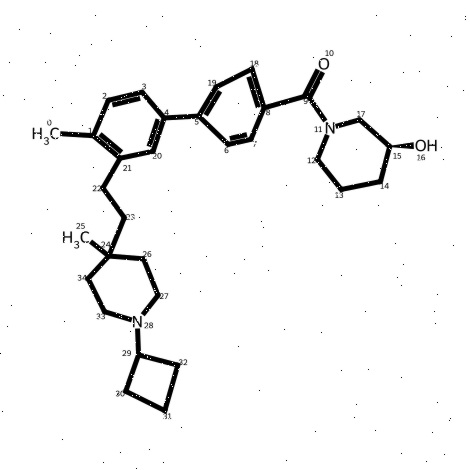 Cc1ccc(-c2ccc(C(=O)N3CCC[C@H](O)C3)cc2)cc1CCC1(C)CCN(C2CCC2)CC1